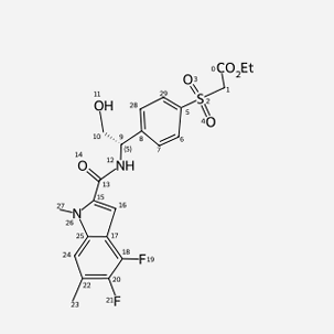 CCOC(=O)CS(=O)(=O)c1ccc([C@@H](CO)NC(=O)c2cc3c(F)c(F)c(C)cc3n2C)cc1